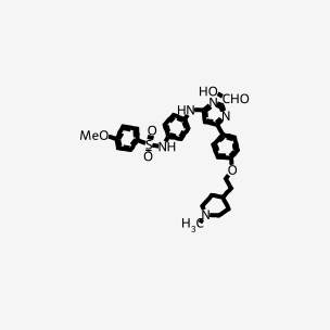 COc1ccc(S(=O)(=O)Nc2ccc(Nc3cc(-c4ccc(OCCC5CCN(C)CC5)cc4)ncn3)cc2)cc1.O=CO